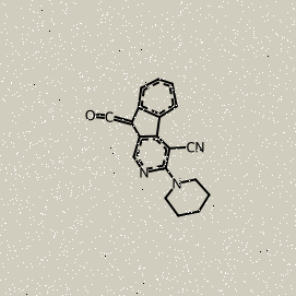 N#Cc1c(N2CCCCC2)ncc2c1-c1ccccc1C2=C=O